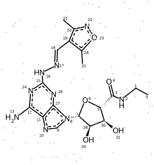 CCNC(=O)[C@H]1O[C@@H](n2cnc3c(N)nc(N/N=C/c4c(C)noc4C)nc32)[C@H](O)[C@@H]1O